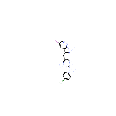 Clc1ccc(NC2N=CC(Cc3c[nH]c4ncc(I)cc34)=CN2)cc1